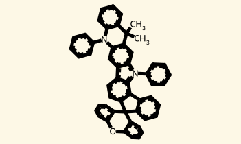 CC1(C)c2ccccc2N(c2ccccc2)c2cc3c4ccc5c(c4n(-c4ccccc4)c3cc21)-c1ccccc1C51c2ccccc2Oc2ccccc21